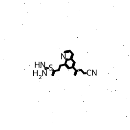 C=C(CCc1cc(C(=C)CCC#N)cc2cccnc12)SC(=N)N